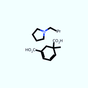 CC(C)CN1CCCC1.CC1(C(=O)O)C=CC=C(C(=O)O)C1